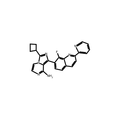 Nc1nccn2c(C3CCC3)nc(-c3ccc4ccc(-c5ccccn5)nc4c3F)c12